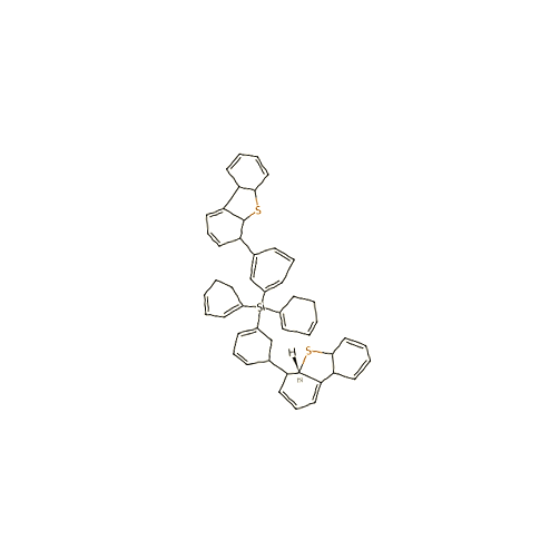 C1=CCCC([Si](C2=CC=CCC2)(C2=CC=CC(C3C=CC=C4C5C=CC=CC5S[C@H]43)C2)c2cccc(C3C=CC=C4C5C=CC=CC5SC43)c2)=C1